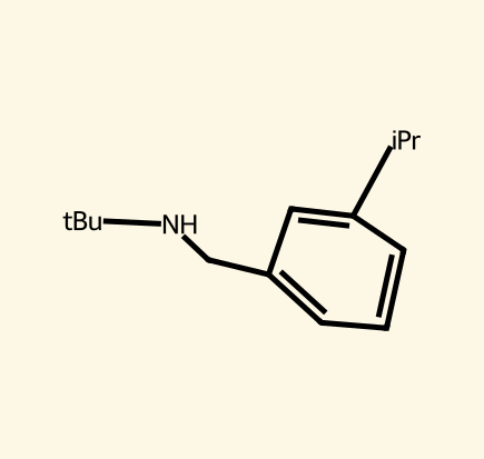 CC(C)c1cccc(CNC(C)(C)C)c1